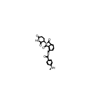 CNc1ccc(C(=O)NCc2cccc3c2C(=O)N(C2CCC(=O)NC2=O)C3=O)cc1